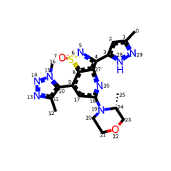 Cc1cc(-c2n[s+]([O-])c3c(-c4c(C)nnn4C)cc(N4CCOC[C@H]4C)nc23)[nH]n1